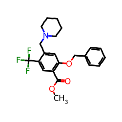 COC(=O)c1cc(C(F)(F)F)c(CN2CCCCC2)cc1OCc1ccccc1